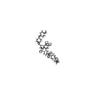 O=C(C1CCN(S(=O)(=O)c2ccc(OC(F)(F)F)cc2)CC1)N(CCCN1CCC(Cc2ccc(F)cc2)CC1)c1ccc(Cl)c(Cl)c1